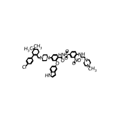 CN1CCN(CCNc2ccc(S(=O)(=O)NC(=O)c3ccc(N4CCN(CC5=C(c6ccc(Cl)cc6)CC(C)(C)CC5)CC4)cc3Oc3ccc4[nH]ccc4c3)cc2[N+](=O)[O-])CC1